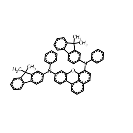 CC1(C)c2ccccc2-c2ccc(N(c3ccccc3)c3ccc4c(c3)Oc3c(N(c5ccccc5)c5ccc6c(c5)C(C)(C)c5ccccc5-6)ccc5cccc-4c35)cc21